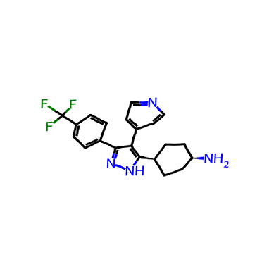 N[C@H]1CC[C@@H](c2[nH]nc(-c3ccc(C(F)(F)F)cc3)c2-c2ccncc2)CC1